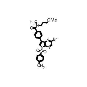 COCCCN(C)C(=O)c1ccc(-c2cn(S(=O)(=O)c3ccc(C)cc3)c3ncc(Br)nc23)cc1